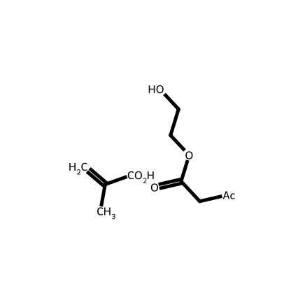 C=C(C)C(=O)O.CC(=O)CC(=O)OCCO